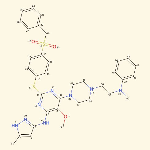 COc1c(Nc2cc(C)[nH]n2)nc(Sc2ccc(S(=O)(=O)Cc3ccccc3)cc2)nc1N1CCN(CCN(C)c2ccccc2)CC1